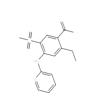 CCc1cc(Nc2ccccn2)c(S(C)(=O)=O)cc1C(=O)Cl